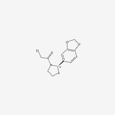 O=C(CCl)N1CCS[C@@H]1c1ccc2c(c1)OCO2